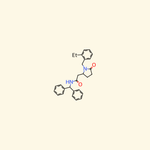 CCc1ccccc1CN1C(=O)CCC1CC(=O)NC(c1ccccc1)c1ccccc1